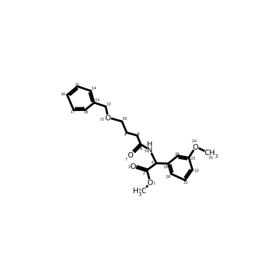 COC(=O)C(NC(=O)CCCOCc1ccccc1)c1cccc(OC)c1